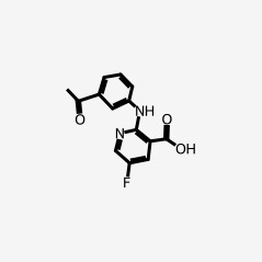 CC(=O)c1cccc(Nc2ncc(F)cc2C(=O)O)c1